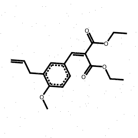 C=CCc1cc(C=C(C(=O)OCC)C(=O)OCC)ccc1OC